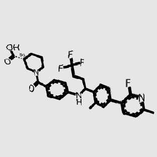 Cc1ccc(-c2ccc(C(CCC(F)(F)F)Nc3ccc(C(=O)N4CCC[C@@H](C(=O)O)C4)cc3)c(C)c2)c(F)n1